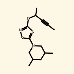 CC#CC(C)Oc1nsc(N2CC(C)CC(C)C2)n1